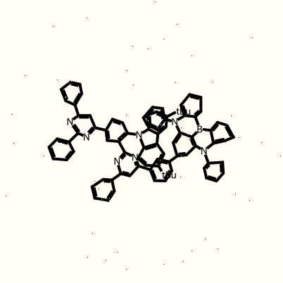 CC(C)(C)c1ccc2c(c1)c1cc(C(C)(C)C)ccc1n2-c1ccc(-c2cc(-c3ccccc3)nc(-c3ccccc3)n2)cc1-c1nc(-c2ccccc2)cc(-c2cccc(-c3cc4c5c(c3)N(c3ccccc3)c3ccccc3B5c3ccccc3N4c3ccccc3)c2)n1